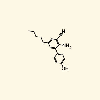 CCCCCc1cc(C#N)c(N)c(-c2ccc(O)cc2)c1